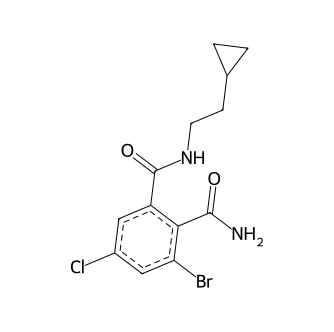 NC(=O)c1c(Br)cc(Cl)cc1C(=O)NCCC1CC1